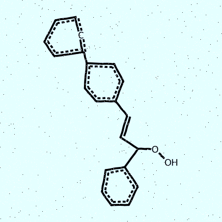 OOC(/C=C/c1ccc(-c2ccccc2)cc1)c1ccccc1